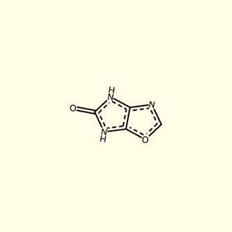 O=c1[nH]c2ncoc2[nH]1